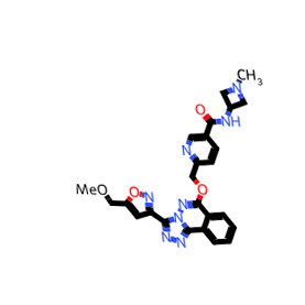 COCc1cc(-c2nnc3c4ccccc4c(OCc4ccc(C(=O)NC5CN(C)C5)cn4)nn23)no1